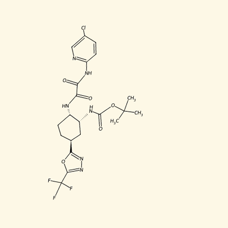 CC(C)(C)OC(=O)N[C@@H]1C[C@@H](c2nnc(C(F)(F)F)o2)CC[C@@H]1NC(=O)C(=O)Nc1ccc(Cl)cn1